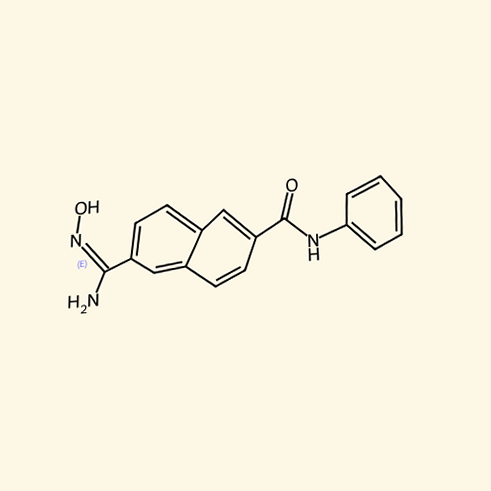 N/C(=N/O)c1ccc2cc(C(=O)Nc3ccccc3)ccc2c1